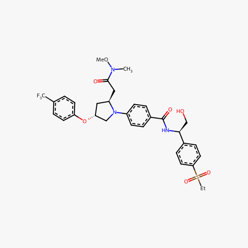 CCS(=O)(=O)c1ccc([C@H](CO)NC(=O)c2ccc(N3C[C@H](Oc4ccc(C(F)(F)F)cc4)C[C@H]3CC(=O)N(C)OC)cc2)cc1